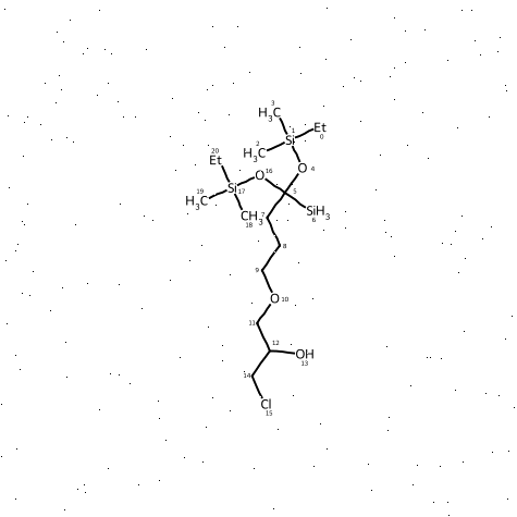 CC[Si](C)(C)OC([SiH3])(CCCOCC(O)CCl)O[Si](C)(C)CC